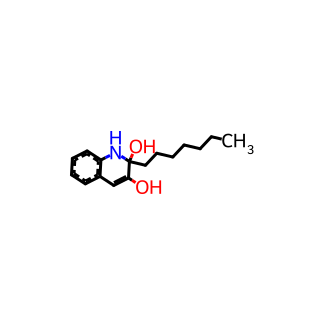 CCCCCCCC1(O)Nc2ccccc2C=C1O